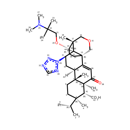 CC(C)[C@@H](C)[C@@]1(C)CC[C@]2(C)[C@H]3CC[C@@H]4[C@@]5(COC[C@@]4(C)[C@@H](OCC(C)(C(C)C)N(C)C)[C@H](n4ncnn4)C5)C3=CC(=O)[C@@]2(C)[C@@H]1C(=O)O